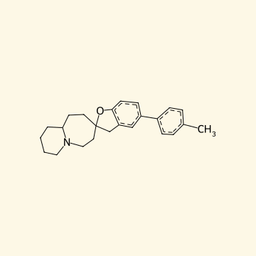 Cc1ccc(-c2ccc3c(c2)CC2(CCC4CCCCN4CC2)O3)cc1